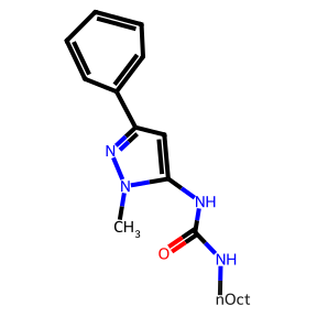 CCCCCCCCNC(=O)Nc1cc(-c2ccccc2)nn1C